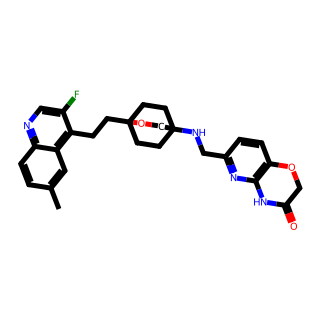 Cc1ccc2ncc(F)c(CCC34CCC(NCc5ccc6c(n5)NC(=O)CO6)(CC3)CO4)c2c1